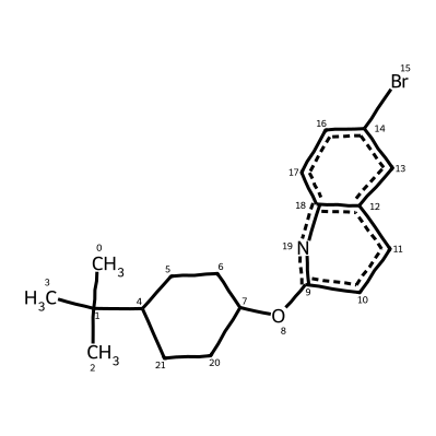 CC(C)(C)C1CCC(Oc2ccc3cc(Br)ccc3n2)CC1